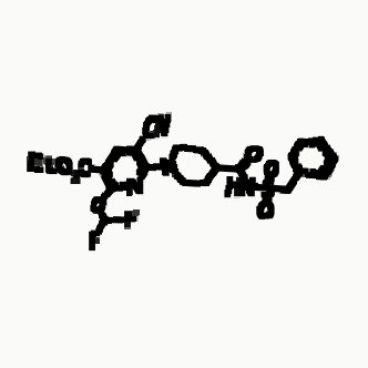 CCOC(=O)c1cc(C#N)c(N2CCC(C(=O)NS(=O)(=O)Cc3ccccc3)CC2)nc1OC(F)F